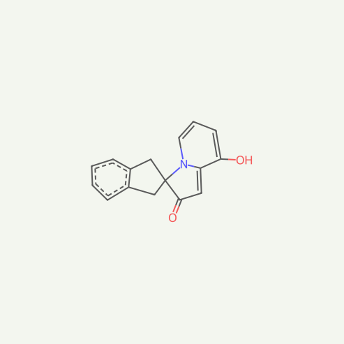 O=C1C=C2C(O)=CC=CN2C12Cc1ccccc1C2